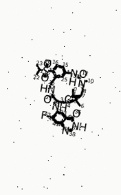 Cc1cc2cc(C)c1CN(C)C(=O)Nc1ccc(S(=O)(=O)C(C)C)c(c1)CNC(=O)C2Nc1cc2c(=O)[nH]cnc2cc1F